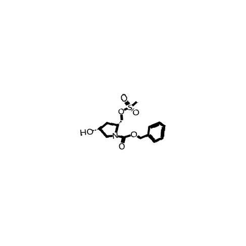 CS(=O)(=O)OC[C@H]1C[C@@H](O)CN1C(=O)OCc1ccccc1